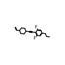 C=CC1CCC(C#Cc2c(F)cc(CCC)cc2F)CC1